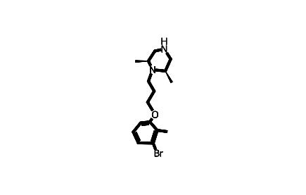 Cc1c(Br)cccc1OCCCN1[C@H](C)CNC[C@@H]1C